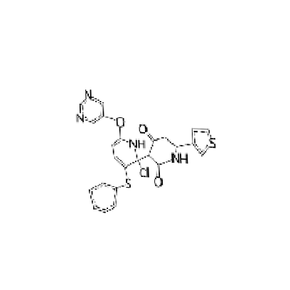 O=C1CC(c2ccsc2)NC(=O)C1C1(Cl)NC(Oc2cncnc2)=CC=C1Sc1ccccc1